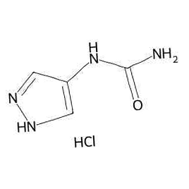 Cl.NC(=O)Nc1cn[nH]c1